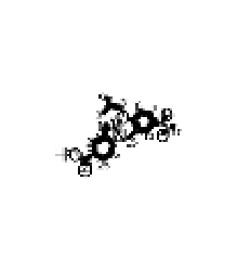 CC(C)COc1ccc(S(C)(=O)=O)cc1Cn1ncc2cc(C(=O)O)ccc21